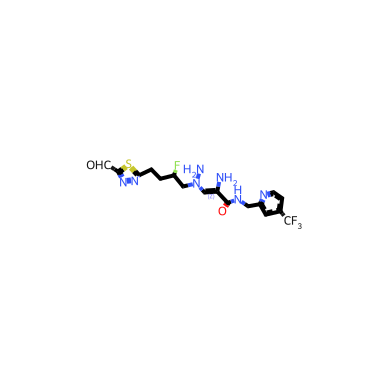 N/C(=C\N(N)CC(F)CCc1nnc(C=O)s1)C(=O)NCc1cc(C(F)(F)F)ccn1